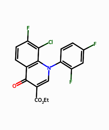 CCOC(=O)c1cn(-c2ccc(F)cc2F)c2c(Cl)c(F)ccc2c1=O